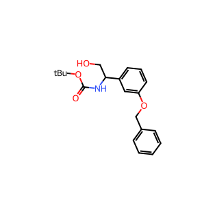 CC(C)(C)OC(=O)NC(CO)c1cccc(OCc2ccccc2)c1